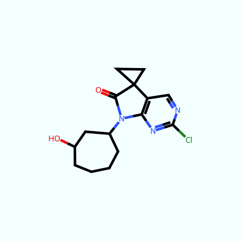 O=C1N(C2CCCCC(O)C2)c2nc(Cl)ncc2C12CC2